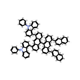 c1ccc(-n2c3ccccc3c3c(-c4cccc5c(-c6c7cccc(-c8ccc9ccccc9c8)c7cc7c(-c8ccc9ccccc9c8)cccc67)c6cccc(-c7cccc8c7c7ccccc7n8-c7ccccc7)c6cc45)cccc32)cc1